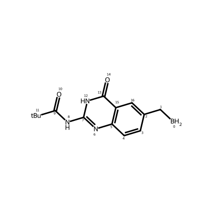 BCc1ccc2nc(NC(=O)C(C)(C)C)[nH]c(=O)c2c1